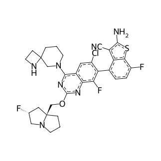 N#Cc1c(N)sc2c(F)ccc(-c3c(Cl)cc4c(N5CCCC6(CCN6)C5)nc(OC[C@@]56CCCN5C[C@H](F)C6)nc4c3F)c12